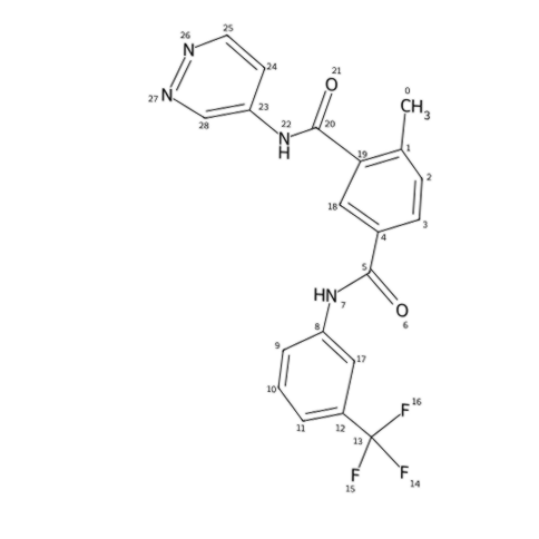 Cc1ccc(C(=O)Nc2cccc(C(F)(F)F)c2)cc1C(=O)Nc1ccnnc1